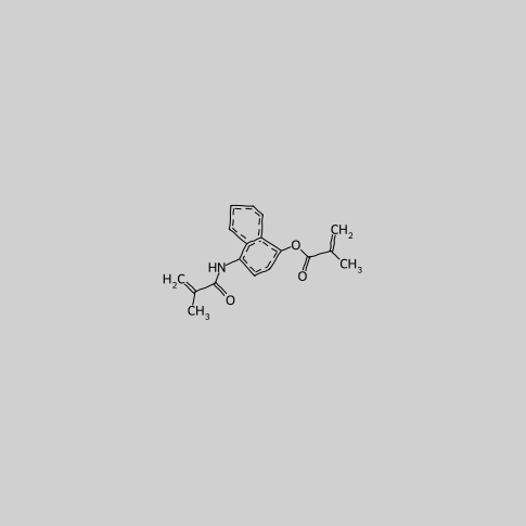 C=C(C)C(=O)Nc1ccc(OC(=O)C(=C)C)c2ccccc12